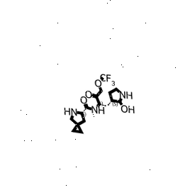 O=C(COC(F)(F)F)[C@H](C[C@@H]1CCNC1O)NC(=O)[C@@H]1CC2(CC2)CN1